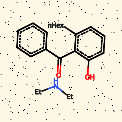 CCCCCCc1cccc(O)c1C(=O)c1ccccc1.CCNCC